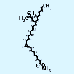 CCCCCCCC(CCCCCCCCC1CC1CCCCCCCC(=O)OC)CCN(C)C